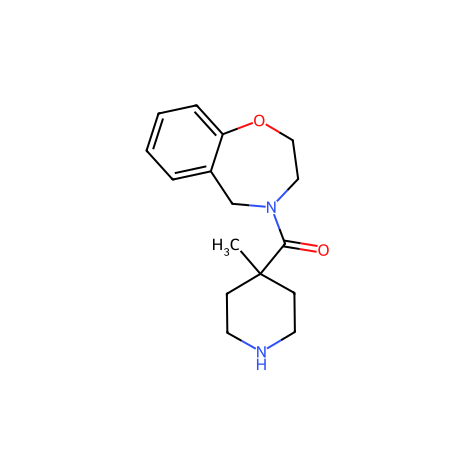 CC1(C(=O)N2CCOc3ccccc3C2)CCNCC1